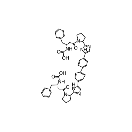 O=C(O)N[C@H](CC(=O)N1CCCC1c1ncc(-c2ccc(-c3ccc(-c4cnc(C5CCCN5C(=O)C[C@H](Cc5ccccc5)NC(=O)O)[nH]4)cc3)cc2)[nH]1)Cc1ccccc1